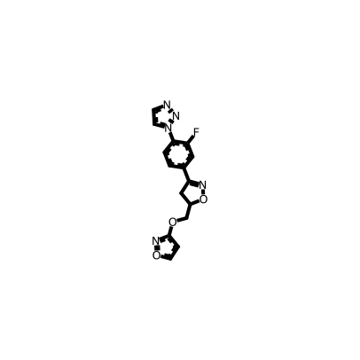 Fc1cc(C2=NOC(COc3ccon3)C2)ccc1-n1ccnn1